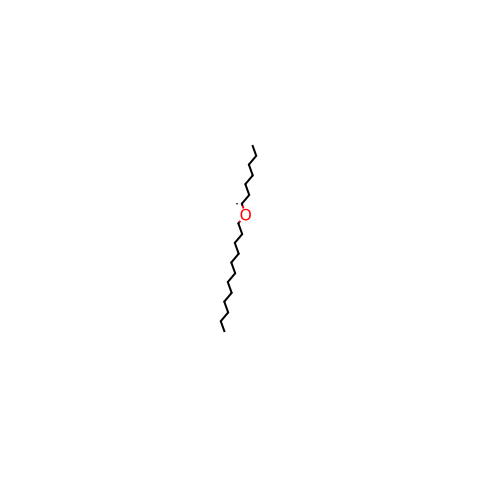 CCCCCC[CH]OCCCCCCCCCCCC